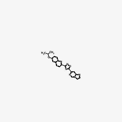 CC(C)Oc1ccc2nc(-c3noc(-c4cc5nccn5cn4)n3)ccc2c1